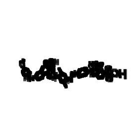 COc1ccc(Nc2ccc3c(O)c(N=Nc4cc(C)c(N=Nc5ccc(N=Nc6ccc(S(=O)(=O)O)cc6S(=O)(=O)O)cc5)cc4C)c(S(=O)(=O)O)cc3c2)cc1